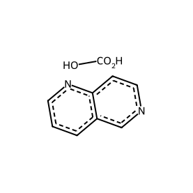 O=C(O)O.c1cnc2ccncc2c1